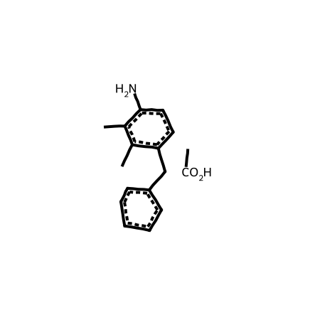 CC(=O)O.Cc1c(N)ccc(Cc2ccccc2)c1C